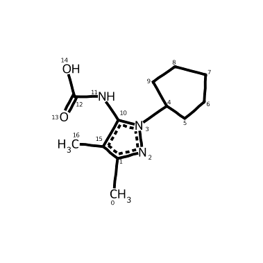 Cc1nn(C2CCCCC2)c(NC(=O)O)c1C